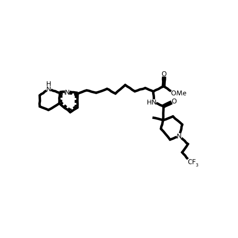 COC(=O)C(CCCCCCCc1ccc2c(n1)NCCC2)NC(=O)C1(C)CCN(CCC(F)(F)F)CC1